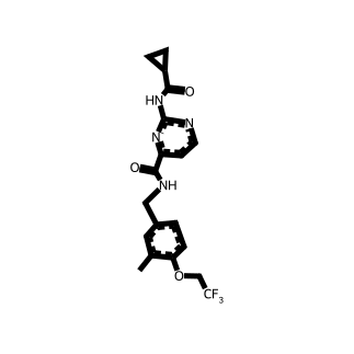 Cc1cc(CNC(=O)c2ccnc(NC(=O)C3CC3)n2)ccc1OCC(F)(F)F